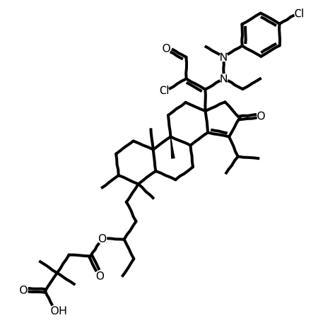 CCC(CCC1(C)C(C)CCC2(C)C1CCC1C3=C(C(C)C)C(=O)CC3(/C(=C(\Cl)C=O)N(CC)N(C)c3ccc(Cl)cc3)CC[C@]12C)OC(=O)CC(C)(C)C(=O)O